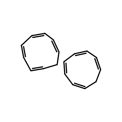 C1=CC=CCC=CC=C1.C1=CC=CCC=CC=C1